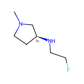 CN1CC[C@H](NCCF)C1